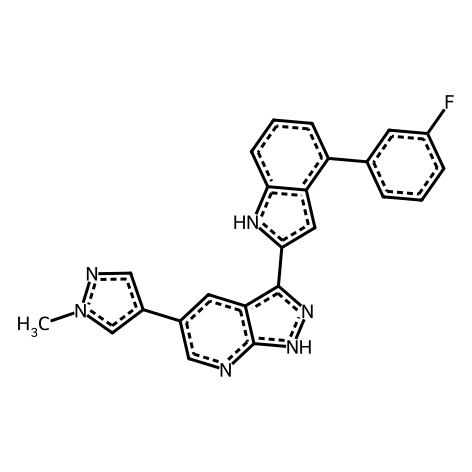 Cn1cc(-c2cnc3[nH]nc(-c4cc5c(-c6cccc(F)c6)cccc5[nH]4)c3c2)cn1